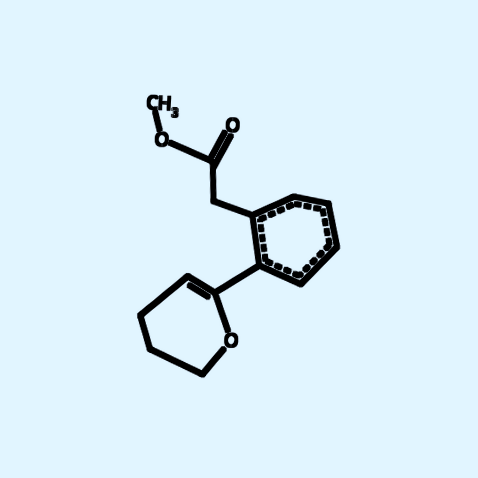 COC(=O)Cc1ccccc1C1=CCCCO1